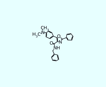 CN(C)c1ccc(-c2oc(-c3ccccc3)nc2C(=O)NCc2ccccc2)cc1